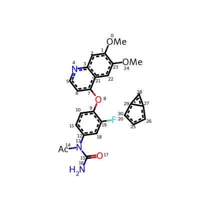 COc1cc2nccc(Oc3ccc(N(C(C)=O)C(N)=O)cc3F)c2cc1OC.c1cc2cc-2c1